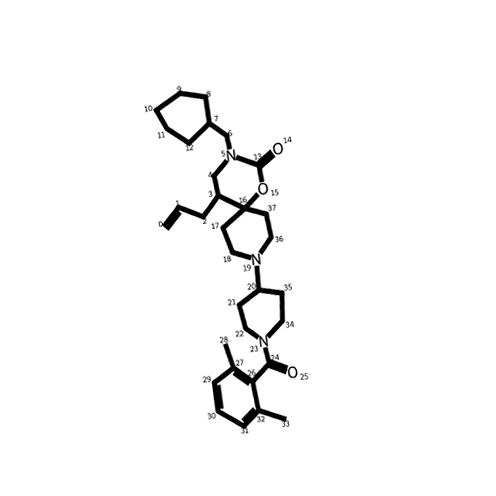 C=CCC1CN(CC2CCCCC2)C(=O)OC12CCN(C1CCN(C(=O)c3c(C)cccc3C)CC1)CC2